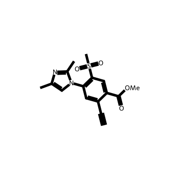 C#Cc1cc(-n2cc(C)nc2C)c(S(C)(=O)=O)cc1C(=O)OC